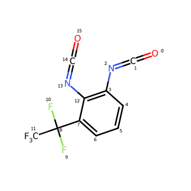 O=C=Nc1cccc(C(F)(F)C(F)(F)F)c1N=C=O